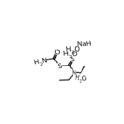 CCN(CC)C(=S)SC(N)=O.O.O.O.[NaH]